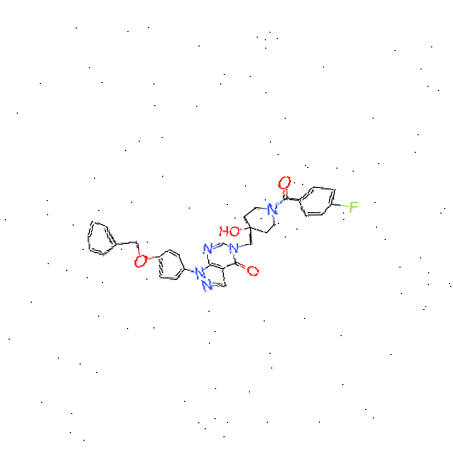 O=C(c1ccc(F)cc1)N1CCC(O)(Cn2cnc3c(cnn3-c3ccc(OCc4ccccc4)cc3)c2=O)CC1